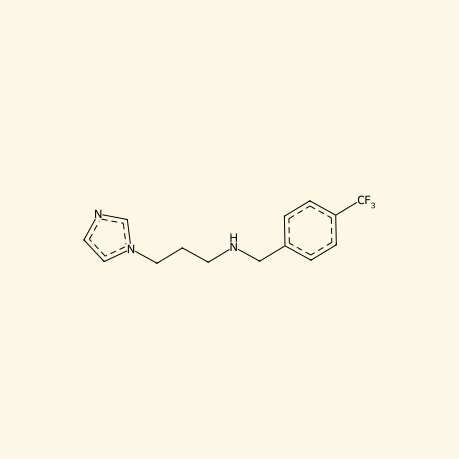 FC(F)(F)c1ccc(CNCCCn2ccnc2)cc1